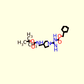 CC(C)(C)OC(=O)NCC1CCN(C(=N)NC(=O)OCc2ccccc2)CC1